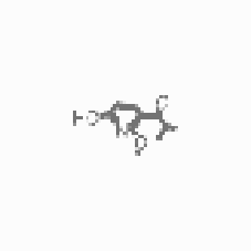 COc1nc(O)ccc1C(=O)C(C)C